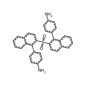 Nc1ccc(-c2c(S(=O)(=O)c3ccc4ccccc4c3-c3ccc(N)cc3)ccc3ccccc23)cc1